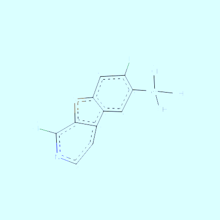 [CH3][Ge]([CH3])([CH3])[c]1cc2c(cc1F)sc1c(Cl)nccc12